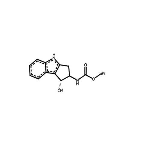 CC(C)OC(=O)NC1Cc2[nH]c3ccccc3c2[C@H]1C#N